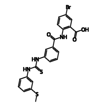 CSc1cccc(NC(=S)Nc2cccc(C(=O)Nc3ccc(Br)cc3C(=O)O)c2)c1